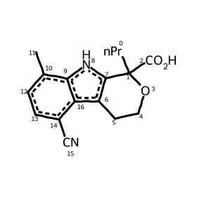 CCCC1(C(=O)O)OCCc2c1[nH]c1c(C)ccc(C#N)c21